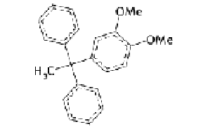 COc1ccc(C(C)(c2ccccc2)c2ccccc2)cc1OC